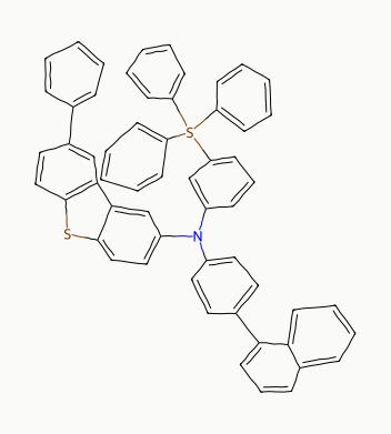 c1ccc(-c2ccc3sc4ccc(N(c5ccc(-c6cccc7ccccc67)cc5)c5cccc(S(c6ccccc6)(c6ccccc6)c6ccccc6)c5)cc4c3c2)cc1